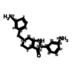 Nc1cccc(CN2CCc3c([nH]n(-c4cccc(N)c4)c3=O)C2)c1